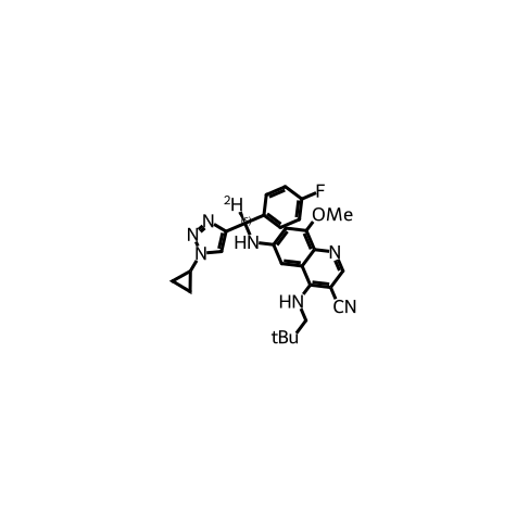 [2H][C@](Nc1cc(OC)c2ncc(C#N)c(NCC(C)(C)C)c2c1)(c1ccc(F)cc1)c1cn(C2CC2)nn1